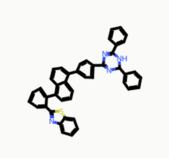 c1ccc(C2=NC(c3ccc(-c4cccc5c(-c6ccccc6-c6nc7ccccc7s6)cccc45)cc3)=NC(c3ccccc3)N2)cc1